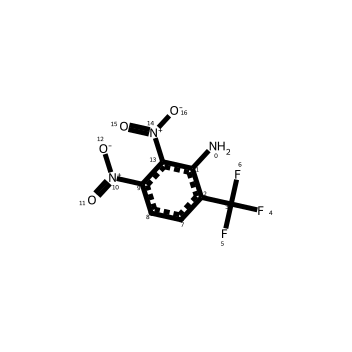 Nc1c(C(F)(F)F)ccc([N+](=O)[O-])c1[N+](=O)[O-]